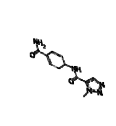 Cn1nncc1C(=O)NC1C=CC(C(N)=O)=CC1